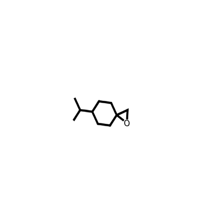 CC(C)C1CCC2(CC1)CO2